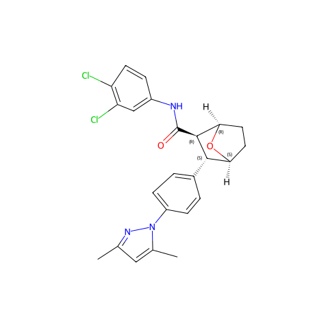 Cc1cc(C)n(-c2ccc([C@@H]3[C@@H](C(=O)Nc4ccc(Cl)c(Cl)c4)[C@H]4CC[C@@H]3O4)cc2)n1